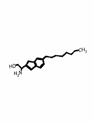 CCCCCCCCc1ccc2c(c1)CC(C(N)CO)=C2